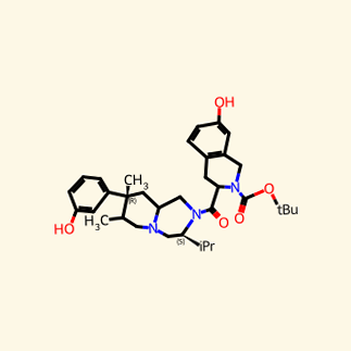 CC(C)[C@H]1CN2CC(C)[C@](C)(c3cccc(O)c3)CC2CN1C(=O)C1Cc2ccc(O)cc2CN1C(=O)OC(C)(C)C